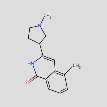 Cc1cccc2c(=O)[nH]c(C3CCN(C)C3)cc12